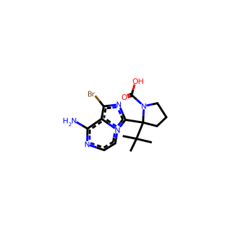 CC(C)(C)C1(c2nc(Br)c3c(N)nccn23)CCCN1C(=O)O